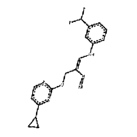 N=N/C(=C\Nc1cccc(C(F)F)c1)COc1nccc(C2CC2)n1